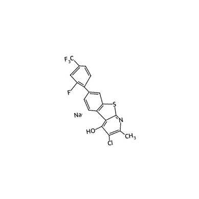 Cc1nc2sc3cc(-c4ccc(C(F)(F)F)cc4F)ccc3c2c(O)c1Cl.[Na]